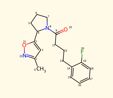 Cc1cc(C2CCCN2C(=O)CCCc2ccccc2F)on1